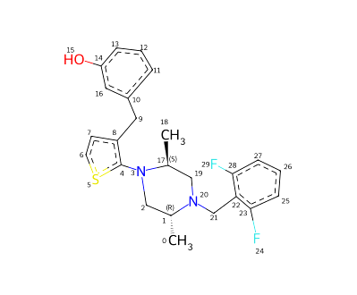 C[C@@H]1CN(c2sccc2Cc2cccc(O)c2)[C@@H](C)CN1Cc1c(F)cccc1F